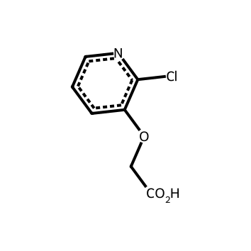 O=C(O)COc1cccnc1Cl